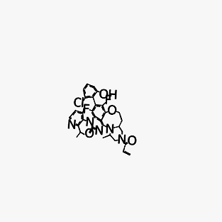 C=CC(=O)N1CC(C)N2c3nc(=O)n(-c4c(C)ccnc4C(C)C)c4c(F)c(-c5c(O)cccc5Cl)c(F)c(c34)OCCC2C1